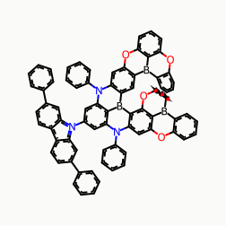 c1ccc(-c2ccc3c4ccc(-c5ccccc5)cc4n(-c4cc5c6c(c4)N(c4ccccc4)c4cc7c8c(c4B6c4cc6c(cc4N5c4ccccc4)Oc4cccc5c4B6c4ccccc4O5)Oc4ccccc4B8c4ccccc4O7)c3c2)cc1